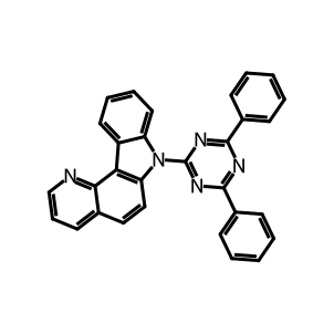 c1ccc(-c2nc(-c3ccccc3)nc(-n3c4ccccc4c4c5ncccc5ccc43)n2)cc1